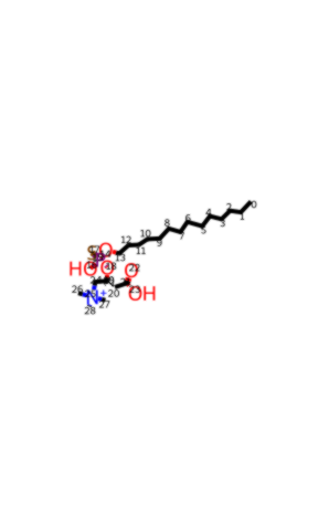 CCCCCCCCCCCCCCOP(O)(=S)O[C@H](CC(=O)O)C[N+](C)(C)C